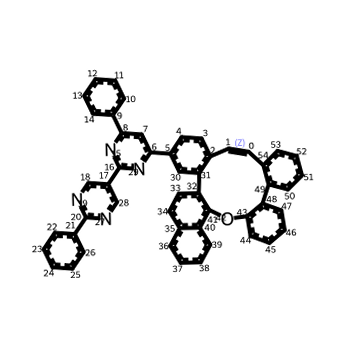 C1=C\c2ccc(-c3cc(-c4ccccc4)nc(-c4cnc(-c5ccccc5)nc4)n3)cc2-c2ccc3ccccc3c2Oc2ccccc2-c2ccccc2/1